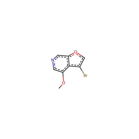 COc1cncc2occ(Br)c12